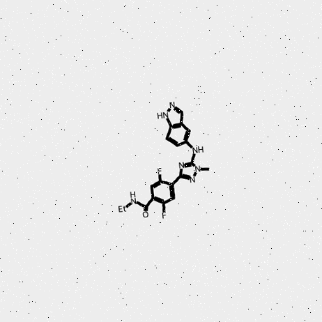 CCNC(=O)c1cc(F)c(-c2nc(Nc3ccc4[nH]ncc4c3)n(C)n2)cc1F